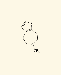 FC(F)(F)N1CCc2ccsc2CC1